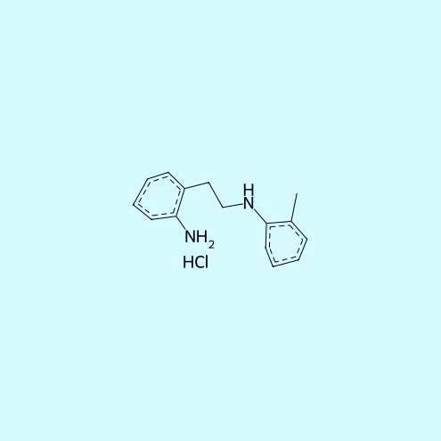 Cc1ccccc1NCCc1ccccc1N.Cl